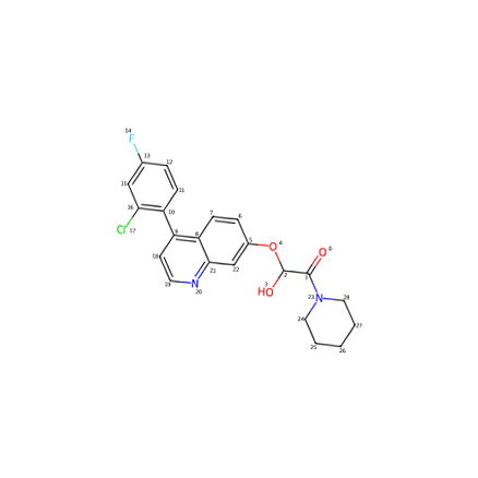 O=C(C(O)Oc1ccc2c(-c3ccc(F)cc3Cl)ccnc2c1)N1CCCCC1